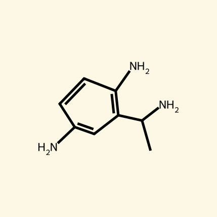 CC(N)c1cc(N)ccc1N